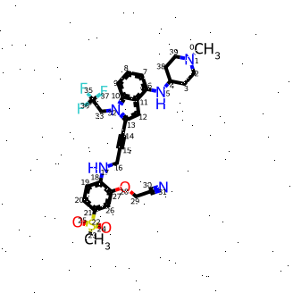 CN1CCC(Nc2cccc3c2cc(C#CCNc2ccc(S(C)(=O)=O)cc2OCC#N)n3CC(F)(F)F)CC1